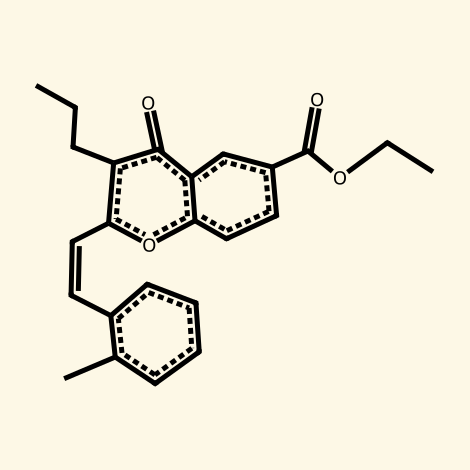 CCCc1c(/C=C\c2ccccc2C)oc2ccc(C(=O)OCC)cc2c1=O